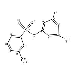 Cc1cc(O)cc(OS(=O)(=O)c2cccc(C(F)(F)F)c2)c1